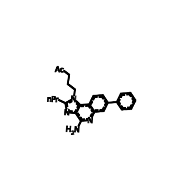 CCCc1nc2c(N)nc3cc(-c4ccccc4)ccc3c2n1CCCC(C)=O